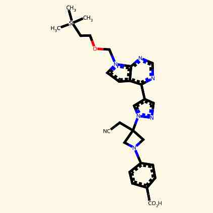 C[Si](C)(C)CCOCn1ccc2c(-c3cnn(C4(CC#N)CN(c5ccc(C(=O)O)cc5)C4)c3)ncnc21